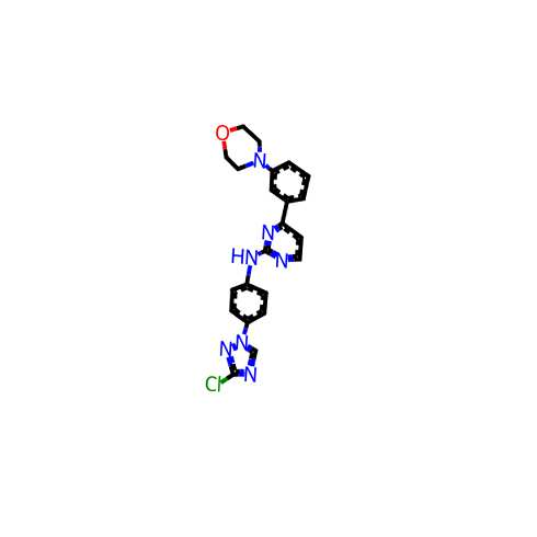 Clc1ncn(-c2ccc(Nc3nccc(-c4cccc(N5CCOCC5)c4)n3)cc2)n1